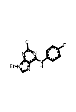 CCn1cnc2c(Nc3ccc(F)cc3)nc(Cl)nc21